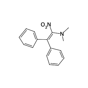 CN(C)C(=C(c1ccccc1)c1ccccc1)[N+](=O)[O-]